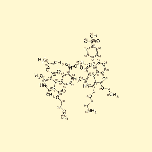 CCOC(=O)C1=C(COCCN)NC(C)=C(C(=O)OC)C1c1ccccc1Cl.COCCOC(=O)C1=C(C)NC(C)=C(C(=O)OC(C)C)C1c1cccc([N+](=O)[O-])c1.O=S(=O)(O)c1ccccc1